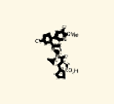 COc1ncc(-c2ccc(Cl)cc2-c2csc(N(C(=O)[C@@H](CC(=O)O)CC3CCCC3)C3CC3)n2)cc1Cl